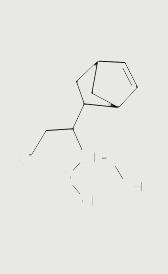 CO[SiH](OC)C(CCl)C1CC2C=CC1C2